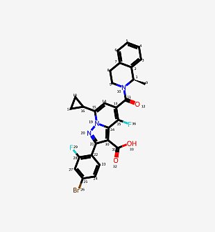 C[C@@H]1c2ccccc2CCN1C(=O)c1cc(C2CC2)n2nc(-c3ccc(Br)cc3F)c(C(=O)O)c2c1F